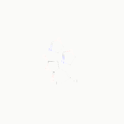 C1=NCCO1.C1=NCCO1.CC(C)=CC1CC(=O)OC1=O